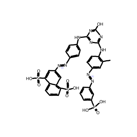 Cc1cc(/N=N/c2cccc(P(=O)(O)O)c2)ccc1Nc1nc(O)nc(Nc2ccc(/N=N/c3cc(S(=O)(=O)O)c4cccc(S(=O)(=O)O)c4c3)cc2)n1